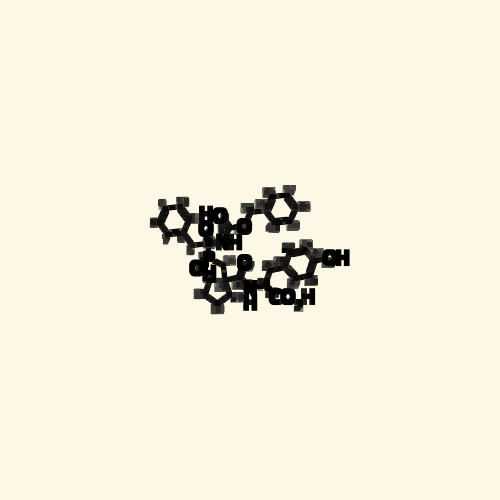 O=C(N[C@@](O)(Cc1ccccc1)[PH](=O)CC1(C(=O)N[C@@H](Cc2ccc(O)cc2)C(=O)O)CCCC1)OCc1ccccc1